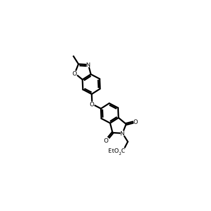 CCOC(=O)CN1C(=O)c2ccc(Oc3ccc4nc(C)oc4c3)cc2C1=O